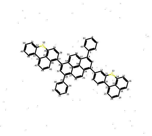 c1ccc(-c2cc(-c3ccc4c(c3)Sc3cccc5cccc-4c35)c3ccc4c(-c5ccccc5)cc(-c5ccc6c7c(cccc57)-c5ccccc5S6)c5ccc2c3c45)cc1